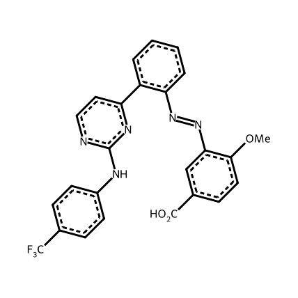 COc1ccc(C(=O)O)cc1N=Nc1ccccc1-c1ccnc(Nc2ccc(C(F)(F)F)cc2)n1